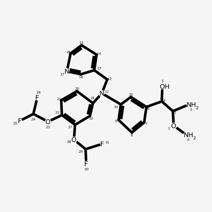 NOC(N)C(O)c1cccc(N(Cc2cccnc2)c2ccc(OC(F)F)c(OC(F)F)c2)c1